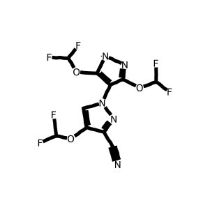 N#Cc1nn(C2=C(OC(F)F)[N]N=C2OC(F)F)cc1OC(F)F